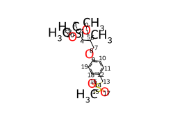 CO[Si](C)(CC(C)COc1ccc(CS(C)(=O)=O)cc1)OC